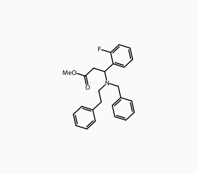 COC(=O)CC(c1ccccc1F)N(CCc1ccccc1)Cc1ccccc1